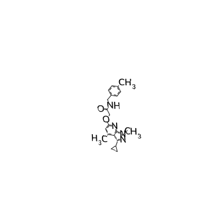 Cc1ccc(CNC(=O)COc2cc(C)c3c(C4CC4)nn(C)c3n2)cc1